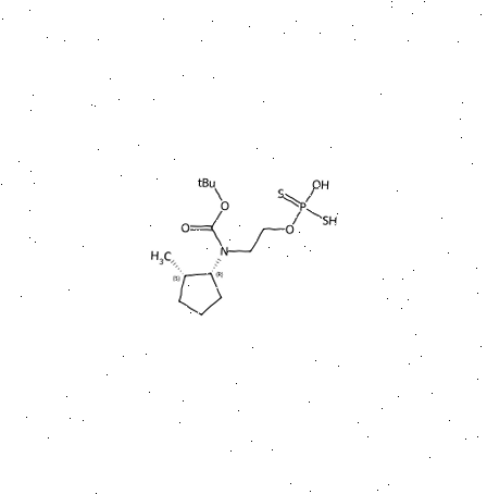 C[C@H]1CCC[C@H]1N(CCOP(O)(=S)S)C(=O)OC(C)(C)C